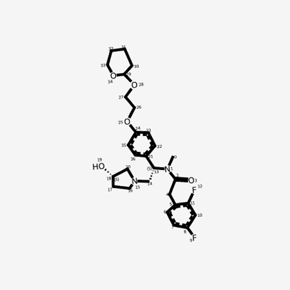 CN(C(=O)Cc1ccc(F)cc1F)[C@H](CN1CC[C@H](O)C1)c1ccc(OCCOC2CCCCO2)cc1